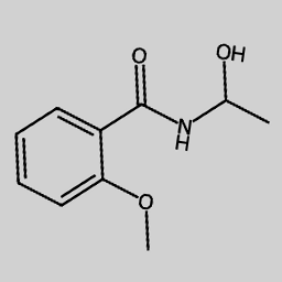 COc1ccccc1C(=O)NC(C)O